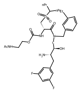 CCCC(CCC)S(=O)(=O)C[C@@H](NC(=O)OCCNC(C)=O)C(=O)N(Cc1cccc(CC)c1)C[C@@H](O)[C@@H](N)Cc1cc(F)cc(F)c1